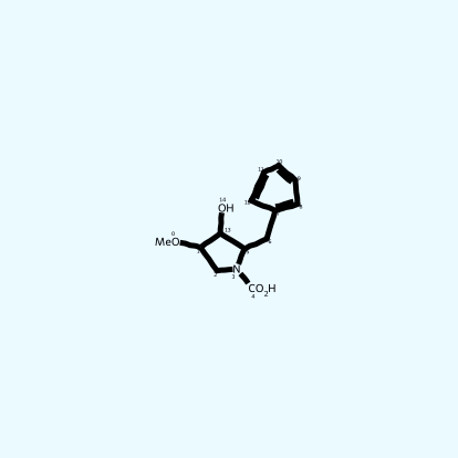 COC1CN(C(=O)O)C(Cc2ccccc2)C1O